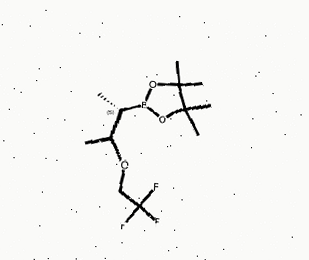 CC(OCC(F)(F)F)[C@H](C)B1OC(C)(C)C(C)(C)O1